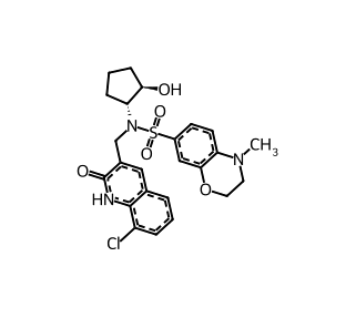 CN1CCOc2cc(S(=O)(=O)N(Cc3cc4cccc(Cl)c4[nH]c3=O)[C@@H]3CCC[C@H]3O)ccc21